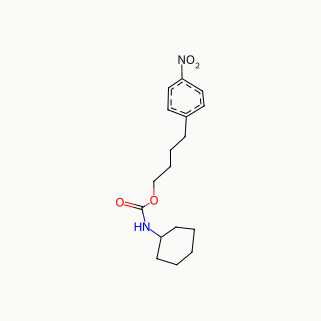 O=C(NC1CCCCC1)OCCCCc1ccc([N+](=O)[O-])cc1